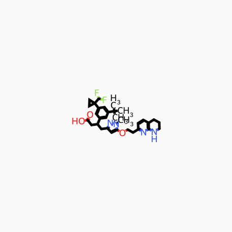 Cn1nc(CC(CC(=O)O)c2cc(C(C)(C)C)cc(C3(C(F)F)CC3)c2)cc1OCCc1ccc2c(n1)NCCC2